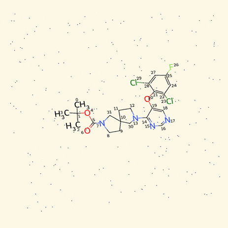 CC(C)(C)OC(=O)N1CCC2(CCN(c3ncncc3Oc3c(Cl)cc(F)cc3Cl)C2)C1